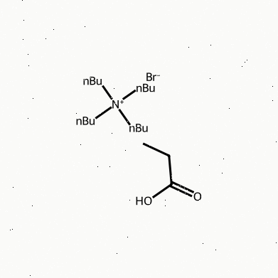 CCC(=O)O.CCCC[N+](CCCC)(CCCC)CCCC.[Br-]